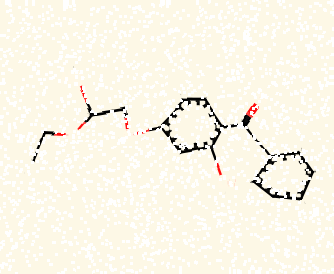 CCOC(O)COc1ccc(C(=O)c2ccccc2)c(O)c1